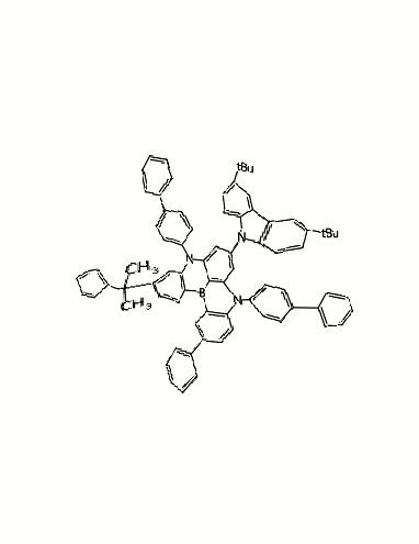 CC(C)(C)c1ccc2c(c1)c1cc(C(C)(C)C)ccc1n2-c1cc2c3c(c1)N(c1ccc(-c4ccccc4)cc1)c1cc(C(C)(C)c4ccccc4)ccc1B3c1cc(-c3ccccc3)ccc1N2c1ccc(-c2ccccc2)cc1